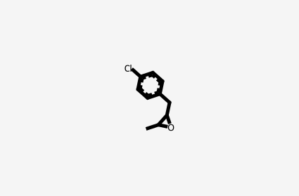 CC1OC1Cc1ccc(Cl)cc1